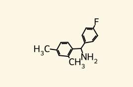 Cc1ccc(C(N)c2ccc(F)cc2)c(C)c1